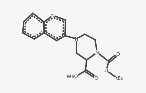 COC(=O)C1CN(c2cnc3ccccc3c2)CCN1C(=O)OC(C)(C)C